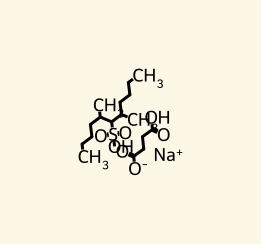 CCCCC(C)C(C(C)CCCC)S(=O)(=O)O.O=C([O-])CCC(=O)O.[Na+]